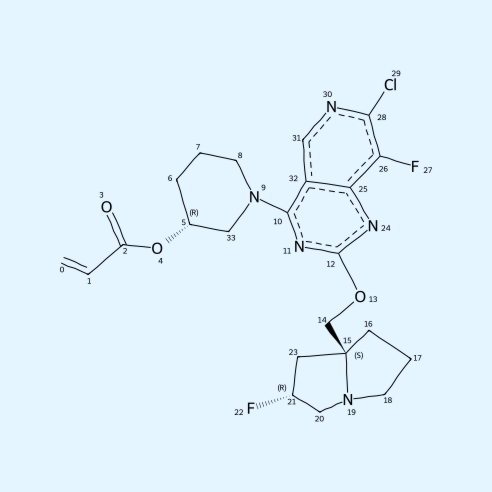 C=CC(=O)O[C@@H]1CCCN(c2nc(OC[C@@]34CCCN3C[C@H](F)C4)nc3c(F)c(Cl)ncc23)C1